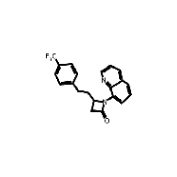 O=C1CC(CCc2ccc(C(F)(F)F)cc2)N1c1cccc2cccnc12